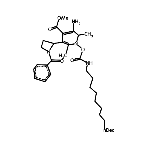 CCCCCCCCCCCCCCCCCCNC(=O)ON1C(C)=C(C2CCN2C(=O)c2ccccc2)C(C(=O)OC)=C(N)C1C